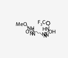 COCCNC(=O)c1nnc(CCCCn2cc(C(O)NCc3cccc(C(F)(F)F)c3)nn2)s1